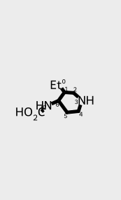 CCC1CNCCC1NC(=O)O